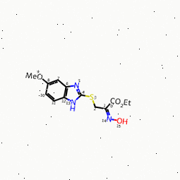 CCOC(=O)/C(CSc1nc2cc(OC)ccc2[nH]1)=N\O